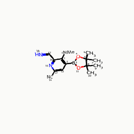 CNc1c(B2OC(C)(C)C(C)(C)O2)cc(C#N)nc1C=N